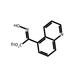 CCOC(=O)C(=NO)c1cccc2ncccc12